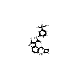 Cc1oc2ccc(O)c(CN3CCC3)c2c1C(=O)Nc1cccc(C(F)(F)F)c1